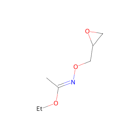 CCO/C(C)=N/OCC1CO1